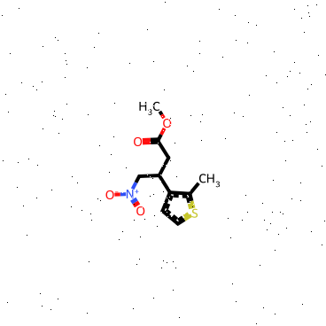 COC(=O)CC(C[N+](=O)[O-])c1ccsc1C